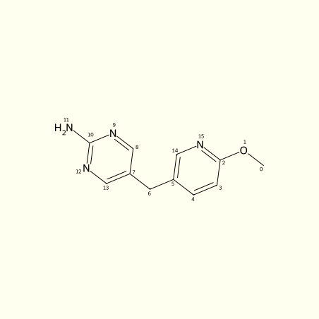 COc1ccc(Cc2cnc(N)nc2)cn1